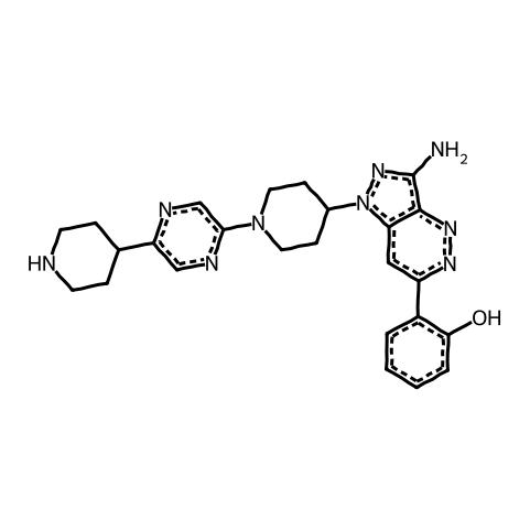 Nc1nn(C2CCN(c3cnc(C4CCNCC4)cn3)CC2)c2cc(-c3ccccc3O)nnc12